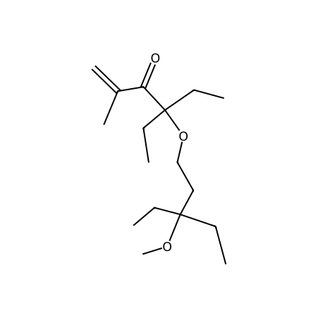 C=C(C)C(=O)C(CC)(CC)OCCC(CC)(CC)OC